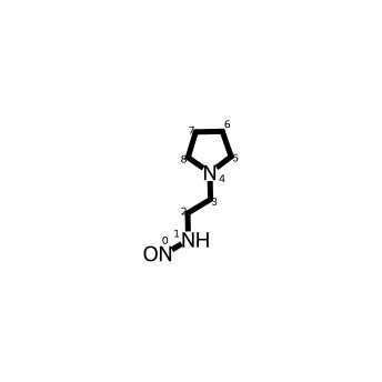 O=NNCCN1CCCC1